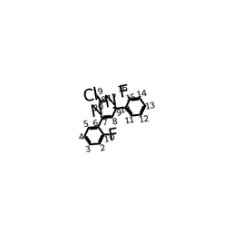 Fc1ccccc1-c1cc(-c2ccccc2F)nc(Cl)n1